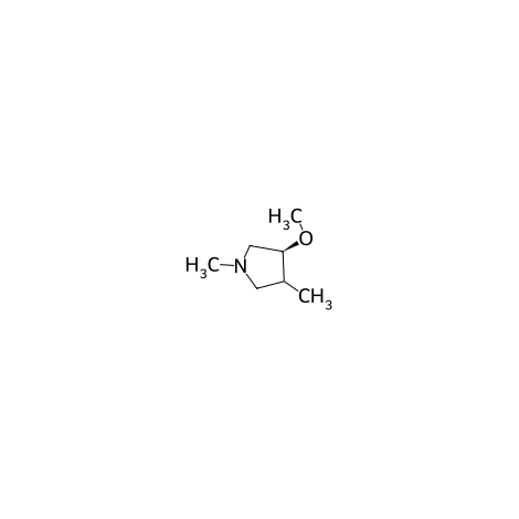 CO[C@@H]1CN(C)CC1C